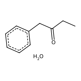 CCC(=O)Cc1ccccc1.O